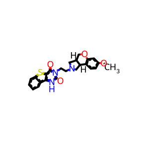 COc1ccc2c(c1)OC[C@H]1CN(CCn3c(=O)[nH]c4c(sc5ccccc54)c3=O)C[C@@H]21